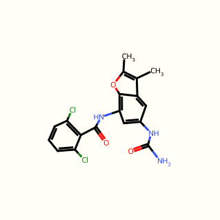 Cc1oc2c(NC(=O)c3c(Cl)cccc3Cl)cc(NC(N)=O)cc2c1C